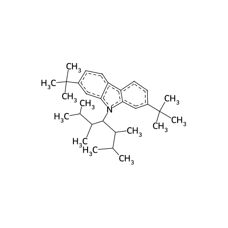 CC(C)C(C)C(C(C)C(C)C)n1c2cc(C(C)(C)C)ccc2c2ccc(C(C)(C)C)cc21